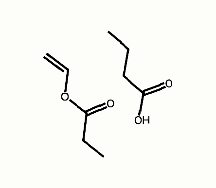 C=COC(=O)CC.CCCC(=O)O